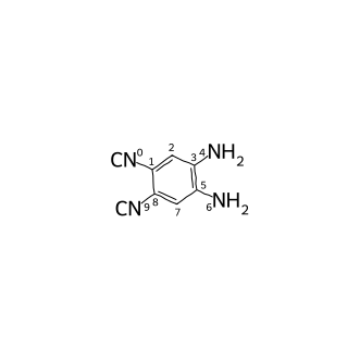 [C-]#[N+]c1cc(N)c(N)cc1[N+]#[C-]